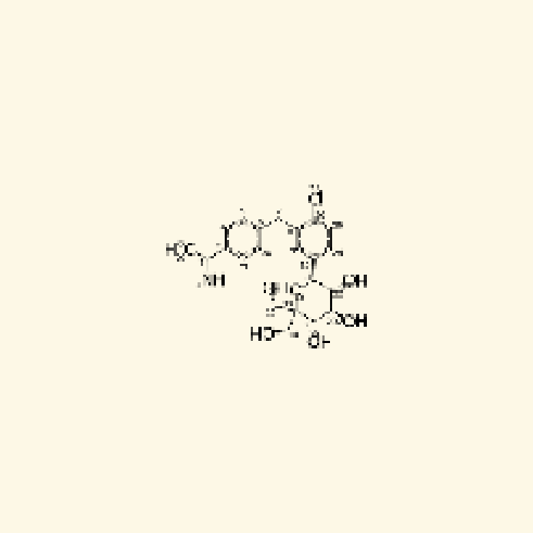 CC(=N)c1ccc(Cc2cc([C@@H]3OC(CO)(CO)[C@@H](O)[C@H](O)[C@H]3O)ccc2Cl)cc1